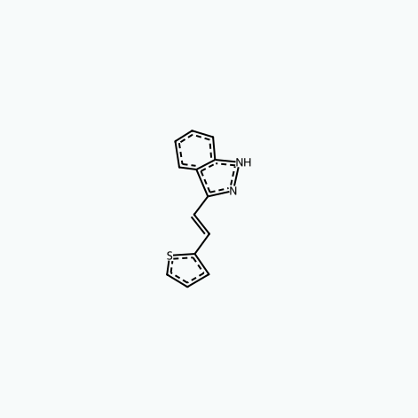 C(=C\c1n[nH]c2ccccc12)/c1cccs1